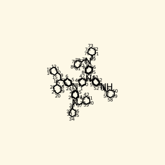 C1=CC(=[N+](c2ccc(C(CC3CCCCC3)CC3CCCCC3)cc2)c2ccc(N(CC3CCCCC3)CC3CCCCC3)cc2)C=CC1=[N+](c1ccc(NCC2CCCCC2)cc1)c1ccc(N(CC2CCCCC2)CC2CCCCC2)cc1